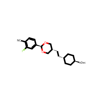 CCCCCCCCCC[C@H]1CC[C@H](CC[C@H]2CO[C@H](c3ccc(C#N)c(F)c3)OC2)CC1